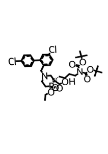 CCOP1(=O)CCN(Cc2ccc(Cl)cc2-c2ccc(Cl)cc2)C[C@@]1(CCCCN(C(=O)OC(C)(C)C)C(=O)OC(C)(C)C)C(=O)O